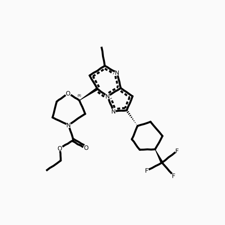 CCOC(=O)N1CCO[C@@H](c2cc(C)nc3cc([C@H]4CC[C@H](C(F)(F)F)CC4)nn23)C1